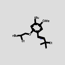 CCCCC(CC)COc1cc(C(C)(C)C)c(OC)cc1/C=C/C(C)(C)CC